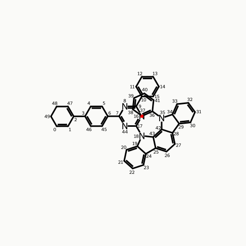 C1=CC(c2ccc(-c3nc(-c4ccccc4)nc(-n4c5ccccc5c5ccc6c7ccccc7n(-c7ccccc7)c6c54)n3)cc2)=CCC1